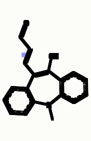 CN1c2ccccc2C(O)=C(/C=C/C=O)c2ccccc21